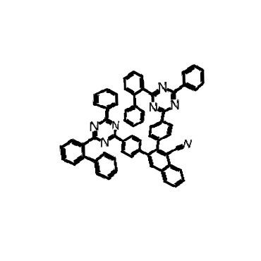 N#Cc1c(-c2ccc(-c3nc(-c4ccccc4)nc(-c4ccccc4-c4ccccc4)n3)cc2)c(-c2ccc(-c3nc(-c4ccccc4)nc(-c4ccccc4-c4ccccc4)n3)cc2)cc2ccccc12